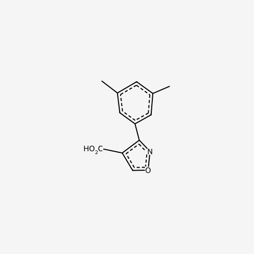 Cc1cc(C)cc(-c2nocc2C(=O)O)c1